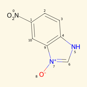 O=[N+]([O-])c1ccc2[nH]c[n+]([O-])c2c1